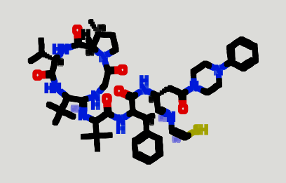 CC(C)[C@@H]1NC(=O)[C@@H]2[C@H](C)CCN2C(=O)CN/C(=N\C(C(=O)NC(C(=O)N[C@@H](/C=N/C=C\S)CC(=O)N2CCN(c3ccccc3)CC2)[C@@H](C)c2ccccc2)C(C)(C)C)C(C(C)(C)C)NC1=O